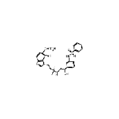 CC(C)(CCn1cnc2ccc(OC(=O)O)c(Cl)c21)NCC(O)c1cccc(NS(=O)(=O)c2ccccc2)c1